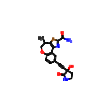 CC1COc2ccc(C#C[C@]3(O)CCNC3=O)cc2-c2nc(C(N)=O)sc21